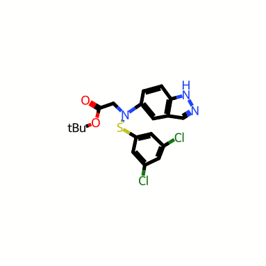 CC(C)(C)OC(=O)CN(Sc1cc(Cl)cc(Cl)c1)c1ccc2[nH]ncc2c1